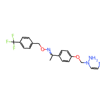 C/C(=N\OCc1ccc(C(F)(F)F)cc1)c1ccc(OCN(N)/C=C\N)cc1